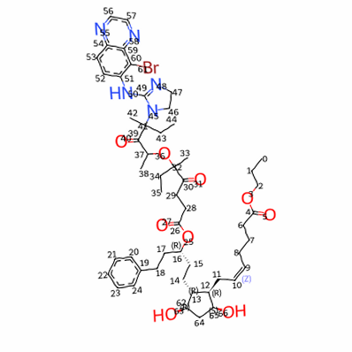 CCCOC(=O)CCC/C=C\C[C@@H]1[C@@H](CC[C@H](CCc2ccccc2)OC(=O)CCC(=O)C(C)(CC)OC(C)C(=O)C(C)(CC)N2CCN=C2Nc2ccc3nccnc3c2Br)[C@H](O)C[C@@H]1O